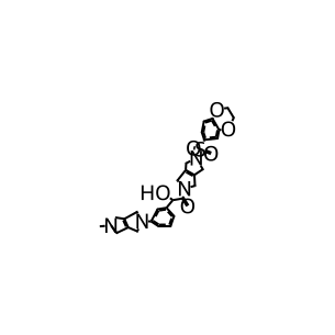 CN1CC2=C(C1)CN(c1cccc(C(O)C(=O)N3CC4=C(C3)CN(S(=O)(=O)c3ccc5c(c3)OCCO5)C4)c1)C2